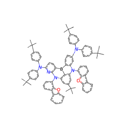 CC(C)(C)c1ccc(N(c2ccc(C(C)(C)C)cc2)c2ccc3c(c2)N(c2cccc4c2oc2ccccc24)c2cc(C(C)(C)C)cc4c2B3c2ccc(N(c3ccc(C(C)(C)C)cc3)c3ccc(C(C)(C)C)cc3)nc2N4c2cccc3c2oc2ccccc23)cc1